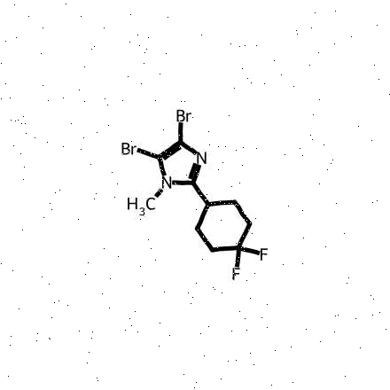 Cn1c(C2CCC(F)(F)CC2)nc(Br)c1Br